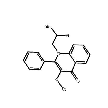 CCCCC(CC)Cn1c(-c2ccccc2)c(OCC)c(=O)c2ccccc21